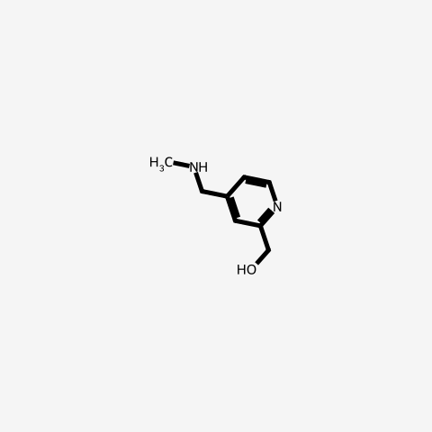 CNCc1ccnc(CO)c1